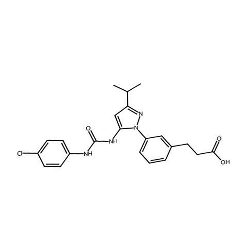 CC(C)c1cc(NC(=O)Nc2ccc(Cl)cc2)n(-c2cccc(CCC(=O)O)c2)n1